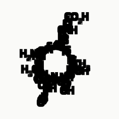 Cc1sc2nc1C(=O)N[C@@H]([C@H](OC(=O)NCCN1CCOCC1)c1ccccc1)c1nc(cs1)C(=O)N[C@@H](Cc1ccc(O)cc1)C(=O)N1C[C@H](O)[C@H](C)[C@H]1c1nc(cs1)-c1nc(cs1)-c1nc(-c3nc(C(=O)NC4CCC(C(=O)O)CC4)cs3)ccc1-c1nc(cs1)C(=O)N[C@H]2CC(N)=O